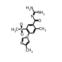 Cc1cn(-c2cc(C)c(C(=O)N=C(N)N)cc2S(C)(=O)=O)cn1